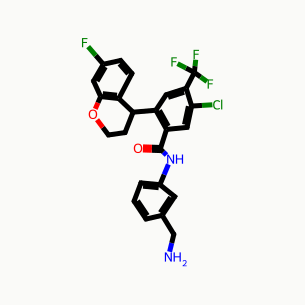 NCc1cccc(NC(=O)c2cc(Cl)c(C(F)(F)F)cc2C2CCOc3cc(F)ccc32)c1